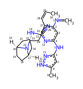 C=Nc1cc(Nc2cc(C)[nH]n2)nc(N[C@@H]2C[C@H]3CC[C@@H](C2)N3CCC#N)c1/C=C\C